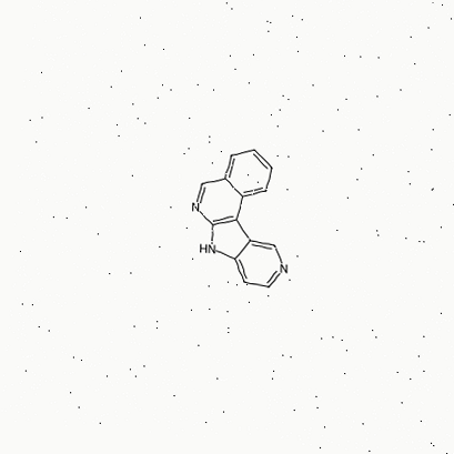 c1ccc2c(c1)cnc1[nH]c3ccncc3c12